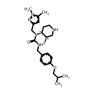 Cc1cc(CN(C(=O)NCc2ccc(OCC(C)C)cc2)[C@H]2CCNC[C@H]2F)nn1C